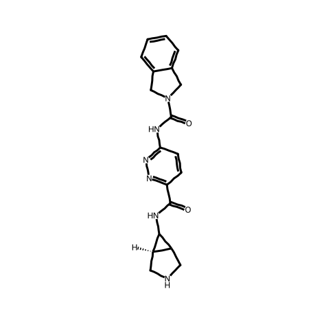 O=C(NC1C2CNC[C@H]21)c1ccc(NC(=O)N2Cc3ccccc3C2)nn1